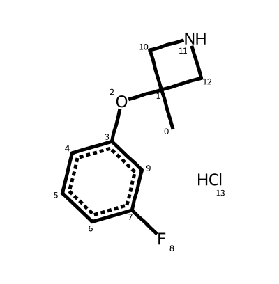 CC1(Oc2cccc(F)c2)CNC1.Cl